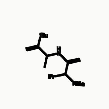 C=C(NC(C)C(=C)C(C)(C)C)C(NC)C(C)C